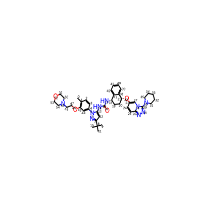 Cc1ccc(-n2nc(C(C)(C)C)cc2NC(=O)N[C@H]2CC[C@@H](Oc3ccc4nnc(N5CCCCC5)n4c3)c3ccccc32)cc1OCCN1CCOCC1